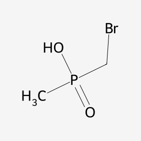 CP(=O)(O)CBr